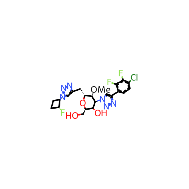 CO[C@@H]1[C@@H](n2cc(-c3ccc(Cl)c(F)c3F)nn2)[C@@H](O)[C@@H](CO)O[C@@H]1Cc1cn([C@H]2CC[C@H]2F)nn1